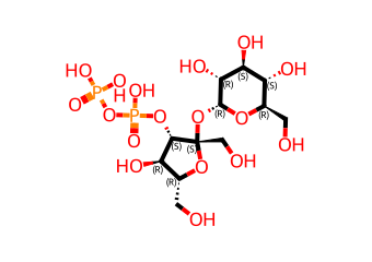 O=P(O)(O)OP(=O)(O)O[C@H]1[C@H](O)[C@@H](CO)O[C@@]1(CO)O[C@H]1O[C@H](CO)[C@@H](O)[C@H](O)[C@H]1O